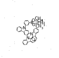 CC1(C)OB(c2cccc(-n3c4ccccc4c4cc(-n5c6ccccc6c6ccccc65)c(-n5c6ccccc6c6ccccc65)cc43)c2)OC1(C)C